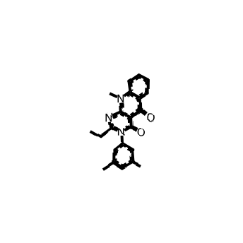 CCc1nc2c(c(=O)c3ccccc3n2C)c(=O)n1-c1cc(C)cc(C)c1